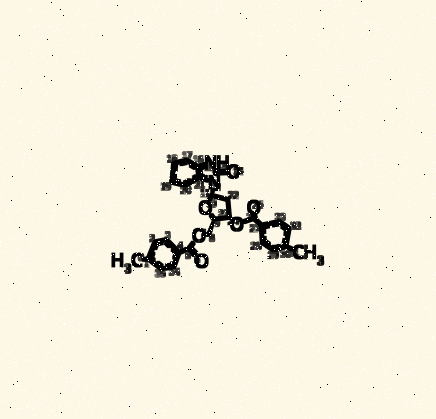 Cc1ccc(C(=O)OC[C@H]2O[C@@H](n3c(=O)[nH]c4ccccc43)C[C@@H]2OC(=O)c2ccc(C)cc2)cc1